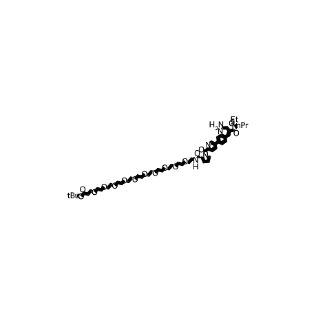 CCCN(OCC)C(=O)C1=Cc2ccc(-c3ccc(C(=O)N4CCC[C@H]4C(=O)NCCOCCOCCOCCOCCOCCOCCOCCOCCOCCOCCC(=O)OC(C)(C)C)nc3)cc2N=C(N)C1